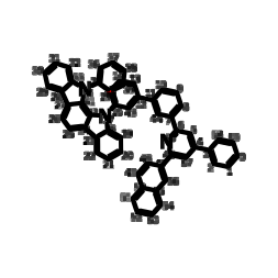 c1ccc(-c2cc(-c3cccc(-c4cccc(-n5c6ccccc6c6ccc7c8ccccc8n(-c8ccccc8)c7c65)c4)c3)nc(-c3ccc4ccccc4c3)c2)cc1